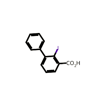 O=C(O)c1cccc(-c2ccccc2)c1I